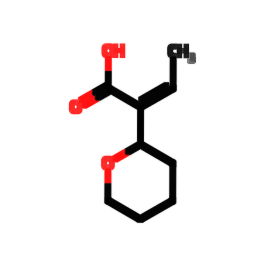 CC=C(C(=O)O)C1CCCCO1